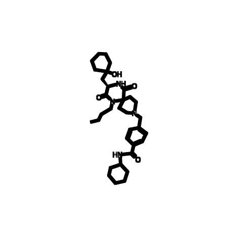 CCCCN1C(=O)[C@@H](CC2(O)CCCCC2)NC(=O)C12CCN(Cc1ccc(C(=O)NC3CCCCC3)cc1)CC2